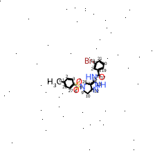 Cc1ccc(S(=O)(=O)N2CCc3n[nH]c(NC(=O)c4cccc(Br)c4)c3C2)cc1